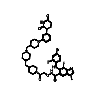 Cn1cnc2c(F)c(Nc3ccc(Br)cc3F)c(C(=O)NOCC(=O)N3CCC(CC4CCN(CC5CCN(c6cccc(C7CCC(=O)NC7=O)c6)CC5)CC4)CC3)cc21